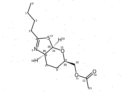 CCCCC1=N[C@@H]2[C][C][C@H](COC(C)=O)O[C@@H]2S1